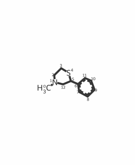 CN1CCSC(c2ccccc2)C1